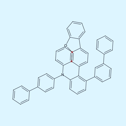 c1ccc(-c2ccc(N(c3ccccc3)c3cccc(-c4cccc(-c5ccccc5)c4)c3-c3ccc4c(c3)oc3ccccc34)cc2)cc1